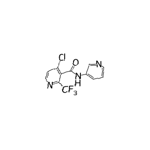 O=C(Nc1cccnc1)c1c(Cl)ccnc1C(F)(F)F